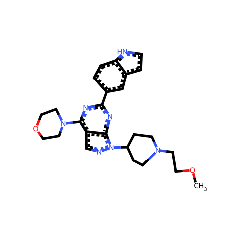 COCCN1CCC(n2ncc3c(N4CCOCC4)nc(-c4ccc5[nH]ccc5c4)nc32)CC1